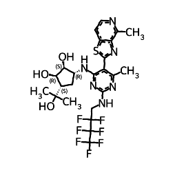 Cc1nc(NCC(F)(F)C(F)(F)C(F)(F)F)nc(N[C@@H]2C[C@H](C(C)(C)O)[C@@H](O)[C@H]2O)c1-c1nc2c(C)nccc2s1